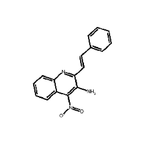 Nc1c(C=Cc2ccccc2)nc2ccccc2c1[N+](=O)[O-]